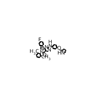 Cc1cccc(C)c1NC(=O)c1cnc(Nc2ccc(OC[C@H]3CCCN3)cc2)nc1Oc1ccc(F)cc1